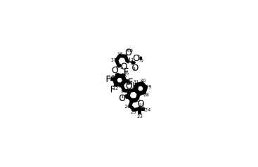 COC(=O)[C@H]1O[C@@H](Oc2c(F)c(F)c(CC3(O)C(=O)C4=C(OC(C)(C)CC4)c4ccccc43)c(F)c2F)CCC1=O